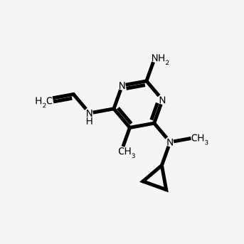 C=CNc1nc(N)nc(N(C)C2CC2)c1C